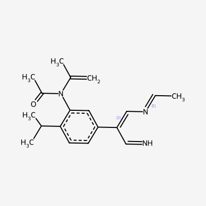 C=C(C)N(C(C)=O)c1cc(/C(C=N)=C/N=C/C)ccc1C(C)C